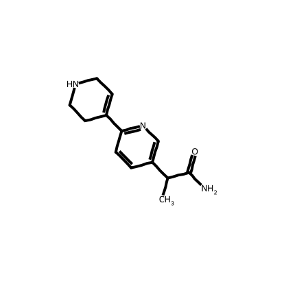 CC(C(N)=O)c1ccc(C2=CCNCC2)nc1